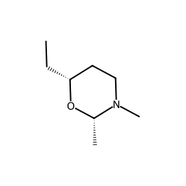 CC[C@@H]1CCN(C)[C@H](C)O1